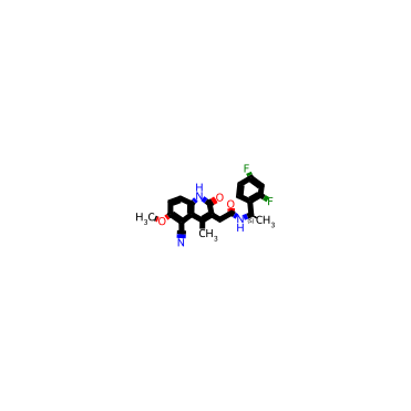 COc1ccc2[nH]c(=O)c(CC(=O)N[C@@H](C)c3ccc(F)cc3F)c(C)c2c1C#N